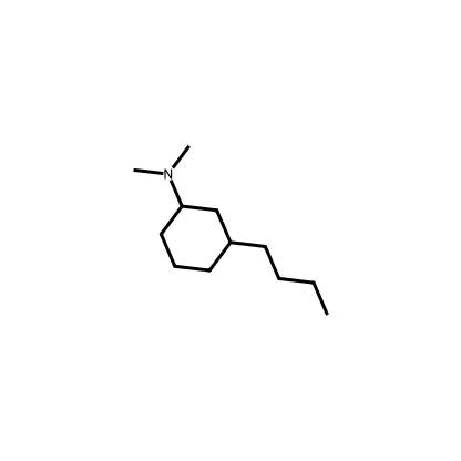 CCCCC1CCCC(N(C)C)C1